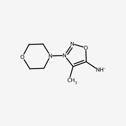 Cc1c([NH-])on[n+]1N1CCOCC1